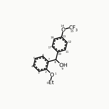 CCOc1ccccc1C(O)c1ccc(OC(F)(F)F)cc1